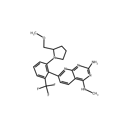 CNc1nc(N)nc2nc(-c3c(N4CCCC4COC)cccc3C(F)(F)F)ccc12